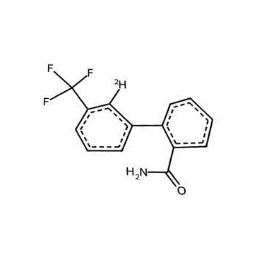 [2H]c1c(-c2ccccc2C(N)=O)cccc1C(F)(F)F